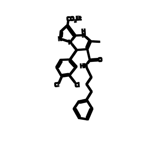 CCOC(=O)c1cnn2c1NC(C)=C(C(=O)NCCCc1ccccc1)C2c1ccc(Cl)c(Cl)c1